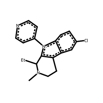 CCC1c2c(c3cc(Cl)ccc3n2-c2ccncc2)CCN1C